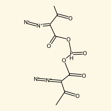 CC(=O)C(=[N+]=[N-])C(=O)O[PH](=O)OC(=O)C(=[N+]=[N-])C(C)=O